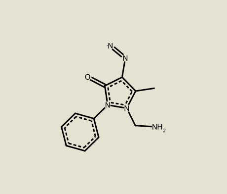 Cc1c(N=[N])c(=O)n(-c2ccccc2)n1CN